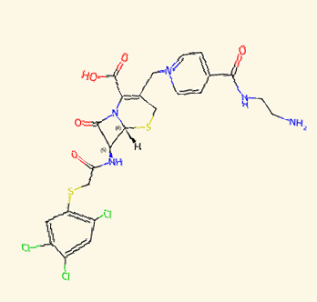 NCCNC(=O)c1cc[n+](CC2=C(C(=O)O)N3C(=O)[C@H](NC(=O)CSc4cc(Cl)c(Cl)cc4Cl)[C@H]3SC2)cc1